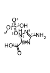 COS(=O)(=O)O.Nc1n[nH]c(C(=O)O)n1